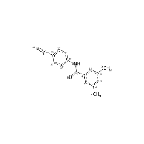 Cc1cc(C)cc(C(=O)Nc2ccc(C#N)cc2)c1